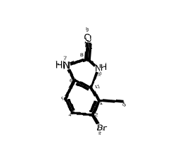 Cc1c(Br)ccc2[nH]c(=O)[nH]c12